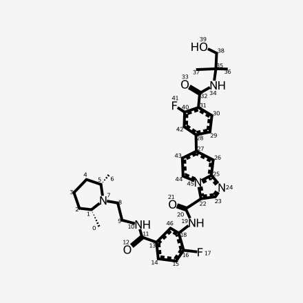 C[C@@H]1CCC[C@H](C)N1CCNC(=O)c1ccc(F)c(NC(=O)c2cnc3cc(-c4ccc(C(=O)NC(C)(C)CO)c(F)c4)ccn23)c1